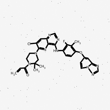 C=CC(=O)N1CCN(c2nc3c(Nc4ccc(Oc5ccn6ncnc6c5)c(C)c4F)ncnc3cc2Cl)CC1(C)C